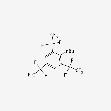 [CH2]CCCc1c(C(F)(F)C(F)(F)F)cc(C(F)(F)C(F)(F)F)cc1C(F)(F)C(F)(F)F